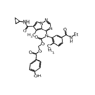 CCNC(=O)c1ccc(C)c(N(C(=O)OCOC(=O)c2ccc(O)cc2)c2ncnn3cc(C(=O)NC4CC4)c(C)c23)c1